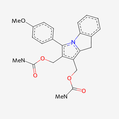 CNC(=O)OCc1c(COC(=O)NC)c(-c2ccc(OC)cc2)n2c1Cc1ccccc1-2